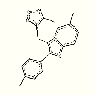 Cc1ccc(-c2nc3ccc(C)cn3c2Cn2nnnc2C)cc1